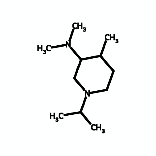 CC1CCN(C(C)C)CC1N(C)C